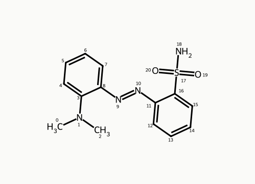 CN(C)c1ccccc1N=Nc1ccccc1S(N)(=O)=O